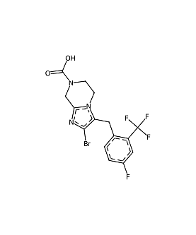 O=C(O)N1CCn2c(nc(Br)c2Cc2ccc(F)cc2C(F)(F)F)C1